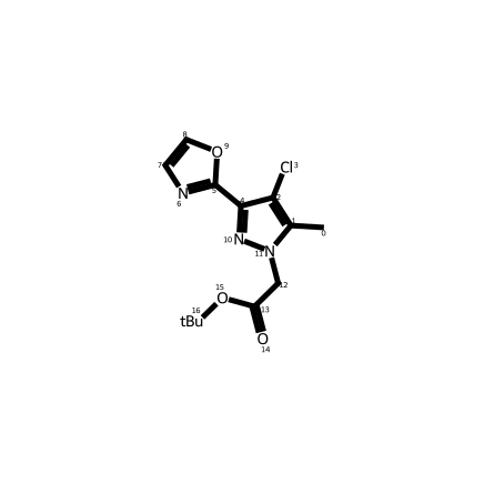 Cc1c(Cl)c(-c2ncco2)nn1CC(=O)OC(C)(C)C